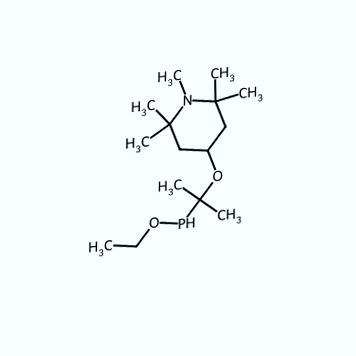 CCOPC(C)(C)OC1CC(C)(C)N(C)C(C)(C)C1